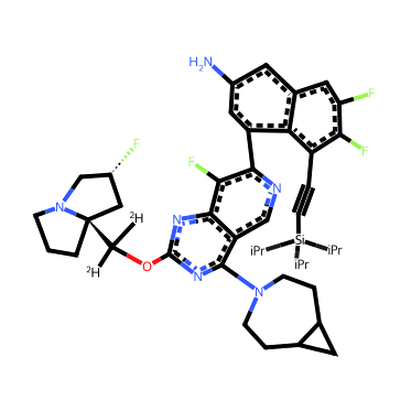 [2H]C([2H])(Oc1nc(N2CCC3CC3CC2)c2cnc(-c3cc(N)cc4cc(F)c(F)c(C#C[Si](C(C)C)(C(C)C)C(C)C)c34)c(F)c2n1)[C@@]12CCCN1C[C@H](F)C2